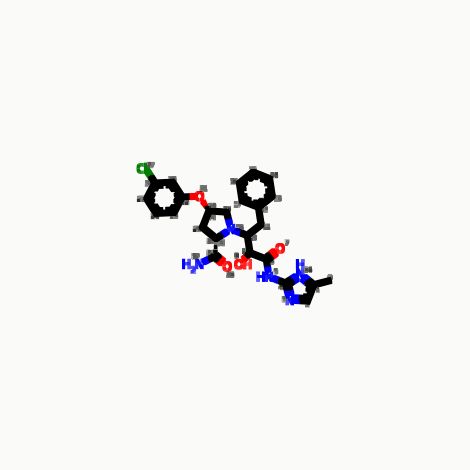 Cc1cnc(NC(=O)C(O)C(Cc2ccccc2)N2C[C@H](Oc3cccc(Cl)c3)C[C@H]2C(N)=O)[nH]1